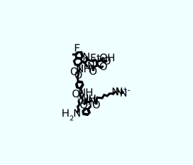 CC[C@@]1(O)C(=O)OCc2c1cc1n(c2=O)Cc2c-1nc1cc(F)c(C)c3c1c2[C@@H](NC(=O)OCc1ccc(NC(=O)[C@H](CCCCN)NC(=O)[C@H](Cc2ccccc2)NC(=O)CCCCCCN=[N+]=[N-])cc1)CC3